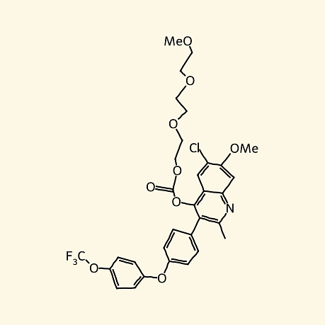 COCCOCCOCCOC(=O)Oc1c(-c2ccc(Oc3ccc(OC(F)(F)F)cc3)cc2)c(C)nc2cc(OC)c(Cl)cc12